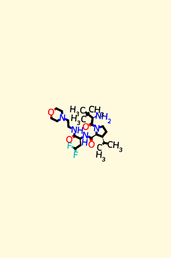 CC(C)[C@H]1CCN(C(=O)[C@@H](N)C(C)(C)C)[C@@H]1C(=O)N[C@@H](CC(F)F)C(=O)NCCN1CCOCC1